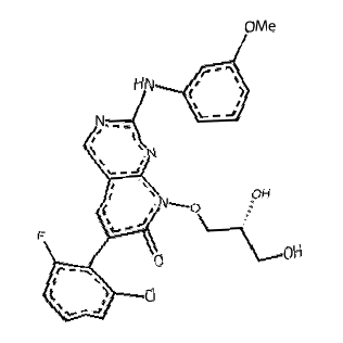 COc1cccc(Nc2ncc3cc(-c4c(F)cccc4Cl)c(=O)n(OC[C@H](O)CO)c3n2)c1